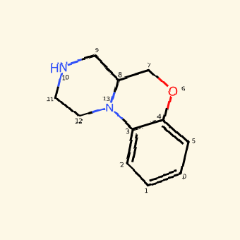 c1ccc2c(c1)OCC1CNCCN21